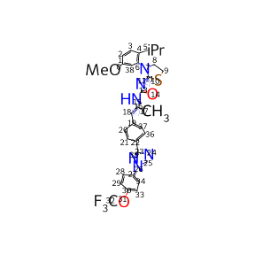 COc1ccc(C(C)C)c(N2CCS/C2=N\C(=O)N/C(C)=C/c2ccc(-c3ncn(-c4ccc(OC(F)(F)F)cc4)n3)cc2)c1